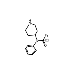 CCC(=O)N(c1ccccc1)C1CCNCC1.Cl